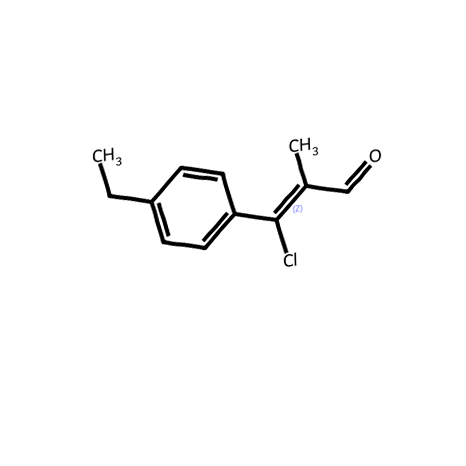 CCc1ccc(/C(Cl)=C(\C)C=O)cc1